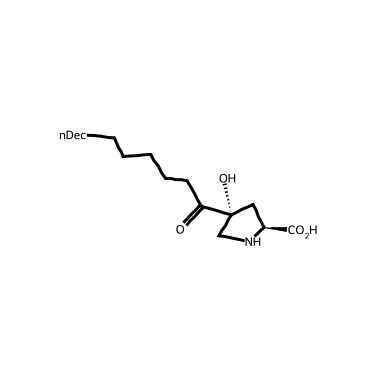 CCCCCCCCCCCCCCCC(=O)[C@]1(O)CN[C@H](C(=O)O)C1